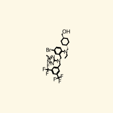 CCN(C[C@H]1CC[C@H](CO)CC1)c1ccc(Br)cc1CN(Cc1cc(C(F)(F)F)cc(C(F)(F)F)c1)c1nnn(C)n1